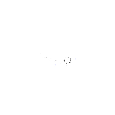 CCCCCC(N)CCc1ccc(N)cc1